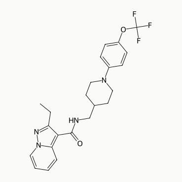 CCc1nn2ccccc2c1C(=O)NCC1CCN(c2ccc(OC(F)(F)F)cc2)CC1